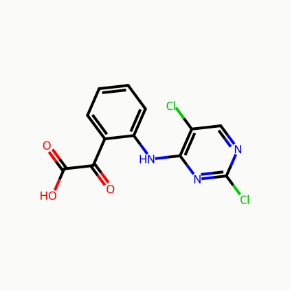 O=C(O)C(=O)c1ccccc1Nc1nc(Cl)ncc1Cl